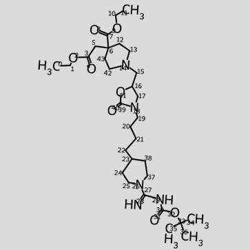 CCOC(=O)CC1(C(=O)OCC)CCN(CC2CN(CCCCC3CCN(C(=N)NC(=O)OC(C)(C)C)CC3)C(=O)O2)CC1